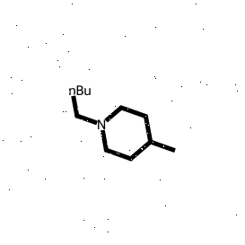 CCCCCN1CCC(C)CC1